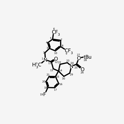 CN(Cc1cc(C(F)(F)F)cc(C(F)(F)F)c1)C(=O)CC1(c2ccc(F)cc2)CCN(C(=O)OC(C)(C)C)CC1